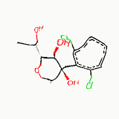 CC(O)[C@H]1O[CH][C@@](O)(c2c(Cl)cccc2Cl)[C@@H]1O